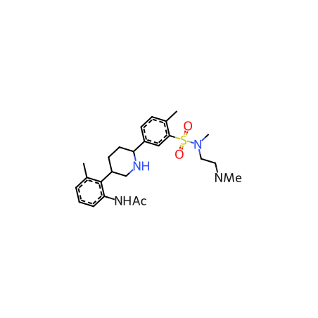 CNCCN(C)S(=O)(=O)c1cc(C2CCC(c3c(C)cccc3NC(C)=O)CN2)ccc1C